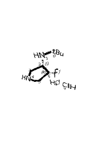 CC(C)(C)N[C@H]1CNC[C@H]1F.Cl.Cl